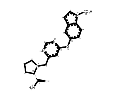 NC(=O)[C@@H]1CCCN1Cc1cc(Oc2ccc3c(ccn3C(=O)O)c2)ncn1